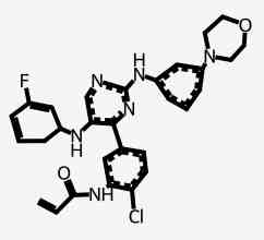 C=CC(=O)Nc1cc(-c2nc(Nc3cccc(N4CCOCC4)c3)ncc2NC2C=C(F)C=CC2)ccc1Cl